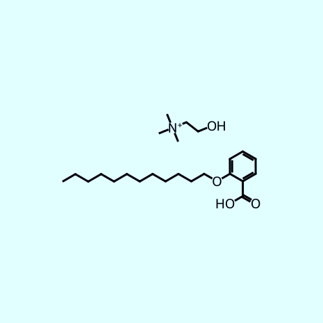 CCCCCCCCCCCCOc1ccccc1C(=O)O.C[N+](C)(C)CCO